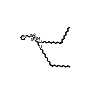 CCCCCCCC/C=C\CCCCCCCCOCC(CNS(=O)(=O)OCCN1CCCC1)OCCCCCCCC/C=C\CCCCCCCC